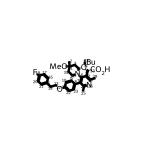 COC1(C)CCN(c2c(-c3ccc(OCCc4ccc(F)cc4)cc3)c(C)nc(C)c2[C@H](OC(C)(C)C)C(=O)O)CC1